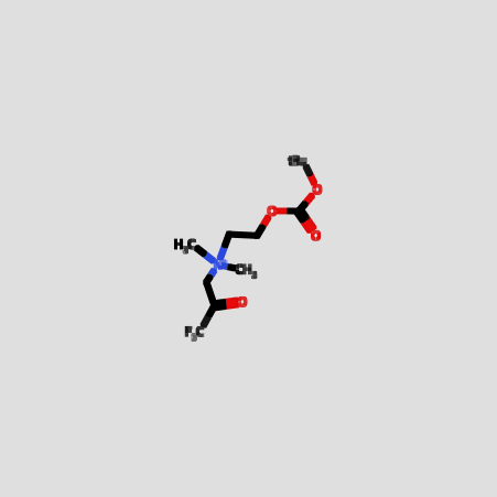 CC(C)(C)OC(=O)OCC[N+](C)(C)CC(=O)C(F)(F)F